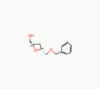 OC[C@H]1C[C@H](COCc2ccccc2)O1